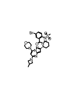 CC1CN(c2cc(N3CCOCC3)n3nc([C@@H]4CCCCN4C(=O)c4cc(Br)ccc4NS(C)(=O)=O)cc3n2)C1